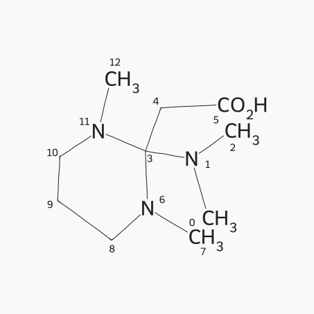 CN(C)C1(CC(=O)O)N(C)CCCN1C